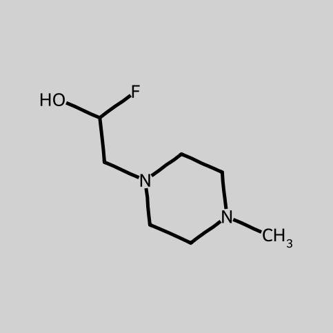 CN1CCN(CC(O)F)CC1